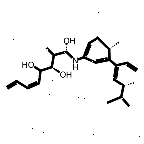 C=C/C=C\C(O)[C@H](O)C(C)[C@H](O)NC1=CC[C@H](C)C(/C(C=C)=C/[C@H](C)C(C)C)=C1